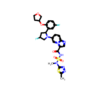 Cc1nnc(N(C)S(=O)(=O)NC(=O)c2cnc3ccc(N4CC(F)CC4c4cc(F)ccc4OC4CCOC4)cn23)s1